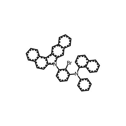 Brc1c(N(c2ccccc2)c2cccc3ccccc23)cccc1-n1c2cc3ccccc3cc2c2c3ccccc3ccc21